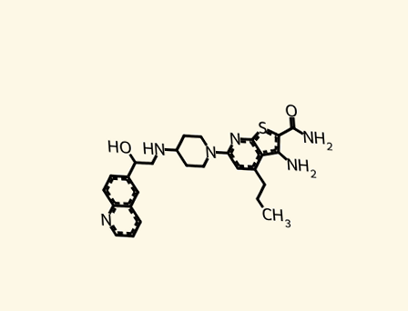 CCCc1cc(N2CCC(NCC(O)c3ccc4ncccc4c3)CC2)nc2sc(C(N)=O)c(N)c12